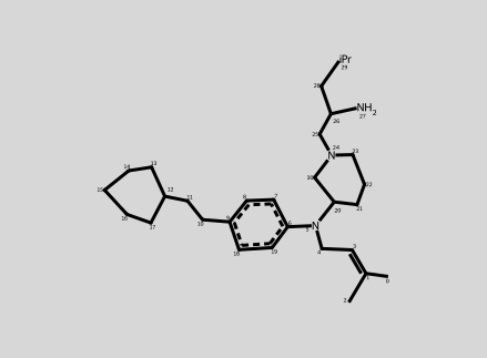 CC(C)=CCN(c1ccc(CCC2CCCCC2)cc1)C1CCCN(CC(N)CC(C)C)C1